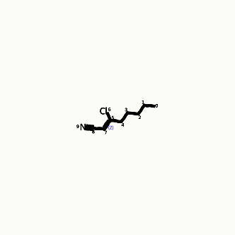 CCCCC/C(Cl)=C/C#N